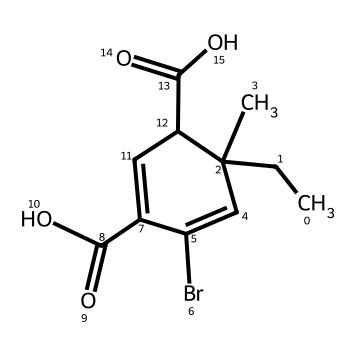 CCC1(C)C=C(Br)C(C(=O)O)=CC1C(=O)O